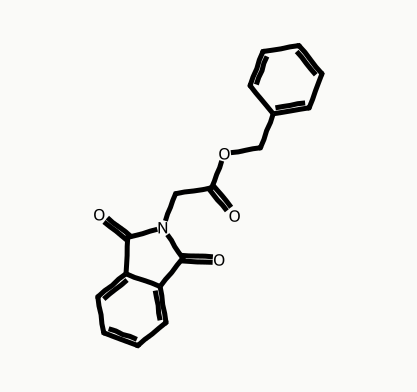 O=C(CN1C(=O)c2ccccc2C1=O)OCc1ccccc1